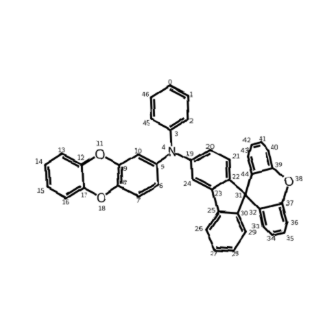 c1ccc(N(c2ccc3c(c2)Oc2ccccc2O3)c2ccc3c(c2)-c2ccccc2C32c3ccccc3Oc3ccccc32)cc1